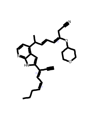 C#C/C(=C\C=C/CCC)c1cc2c(C(C)C=C/C=C(\CC#N)OC3CCOCC3)ccnc2[nH]1